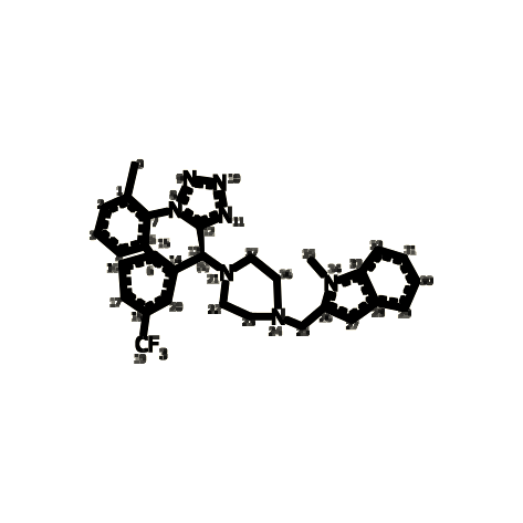 Cc1cccc(C)c1-n1nnnc1[C@H](c1cccc(C(F)(F)F)c1)N1CCN(Cc2cc3ccccc3n2C)CC1